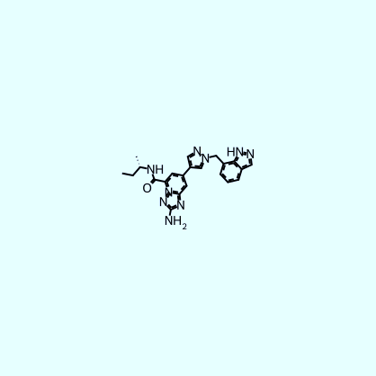 CC[C@H](C)NC(=O)c1cc(-c2cnn(Cc3cccc4cn[nH]c34)c2)cc2nc(N)nn12